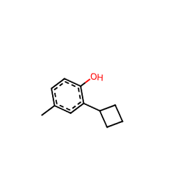 Cc1ccc(O)c(C2CCC2)c1